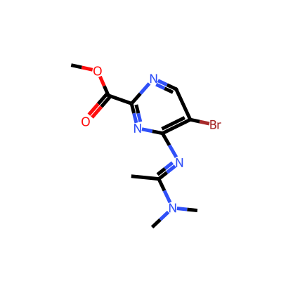 COC(=O)c1ncc(Br)c(/N=C(\C)N(C)C)n1